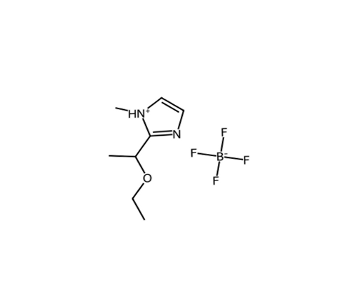 CCOC(C)C1=NC=C[NH+]1C.F[B-](F)(F)F